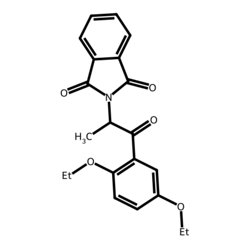 CCOc1ccc(OCC)c(C(=O)C(C)N2C(=O)c3ccccc3C2=O)c1